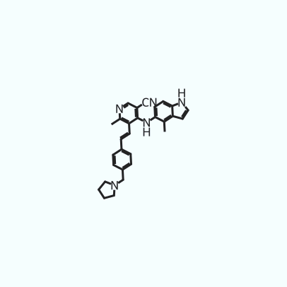 Cc1ncc(C#N)c(Nc2ccc3[nH]ccc3c2C)c1C=Cc1ccc(CN2CCCC2)cc1